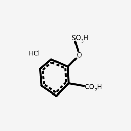 Cl.O=C(O)c1ccccc1OS(=O)(=O)O